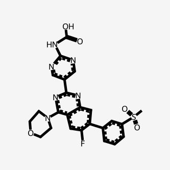 CS(=O)(=O)c1cccc(-c2cc3nc(-c4cnc(NC(=O)O)nc4)nc(N4CCOCC4)c3cc2F)c1